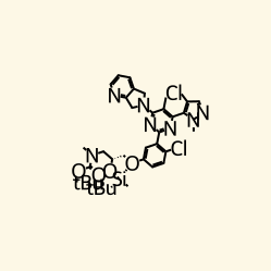 Cc1c(-c2c(Cl)cnn2C)nc(-c2cc(OC[C@@H](CN(C)C(=O)OC(C)(C)C)O[Si](C)(C)C(C)(C)C)ccc2Cl)nc1N1Cc2cccnc2C1